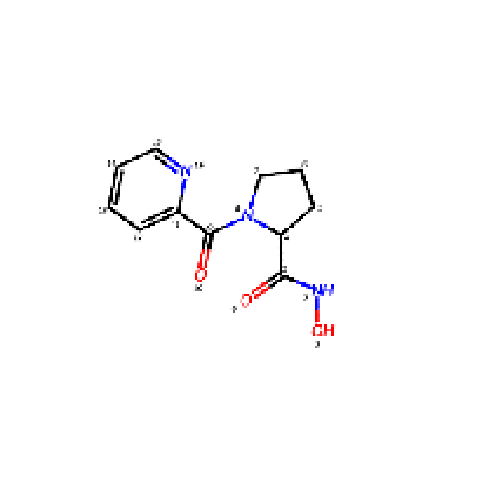 O=C(NO)C1CCCN1C(=O)c1ccccn1